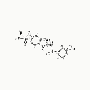 Cc1cccc(C(=O)Nc2nc3cc4c(cc3[nH]2)OC(F)(F)O4)c1